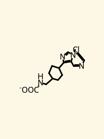 O=C([O-])NCC1CCC(C2=C3C=NC=C[N+]3(Cl)C=N2)CC1